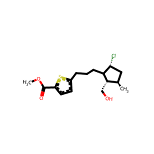 COC(=O)c1ccc(CCCC2[C@H](Cl)C[C@@H](C)[C@@H]2CO)s1